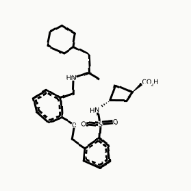 CC(CC1CCCCC1)NCc1ccccc1OCc1ccccc1S(=O)(=O)N[C@H]1C[C@H](C(=O)O)C1